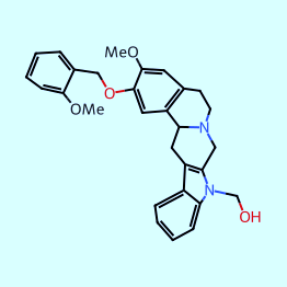 COc1ccccc1COc1cc2c(cc1OC)CCN1Cc3c(c4ccccc4n3CO)CC21